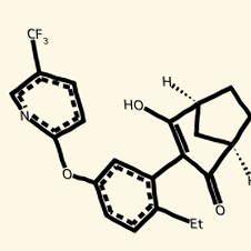 CCc1ccc(Oc2ccc(C(F)(F)F)cn2)cc1C1=C(O)[C@H]2CC[C@H](C2)C1=O